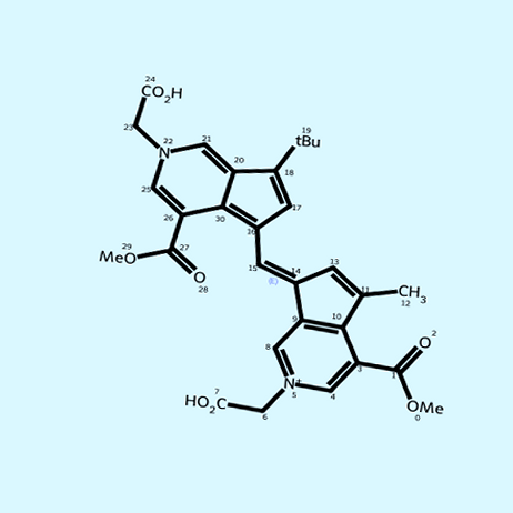 COC(=O)c1c[n+](CC(=O)O)cc2c1C(C)=C/C2=C\c1cc(C(C)(C)C)c2cn(CC(=O)O)cc(C(=O)OC)c1-2